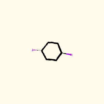 I[C@H]1CC[C@H](I)CC1